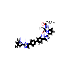 COC(=O)N[C@H](C(=O)N1[C@@H]2C[C@@H]2C[C@H]1c1ncc(-c2ccc(-c3ccc(-c4cnc([C@@H]5C[C@H]6C[C@H]6N5)[nH]4)cc3)cc2)[nH]1)C(C)C